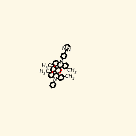 Cc1ccc2c(c1)C1(c3cc(C)ccc3N2c2ccccc2)c2ccccc2C2(c3cc(C)ccc3N(c3ccc(-c4ncccn4)cc3)c3ccc(C)cc32)c2ccccc21